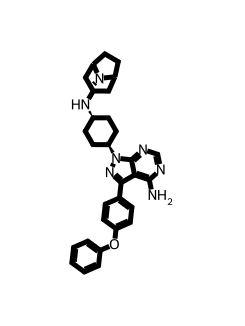 CN1C2CCC1CC(N[C@H]1CC[C@H](n3nc(-c4ccc(Oc5ccccc5)cc4)c4c(N)ncnc43)CC1)C2